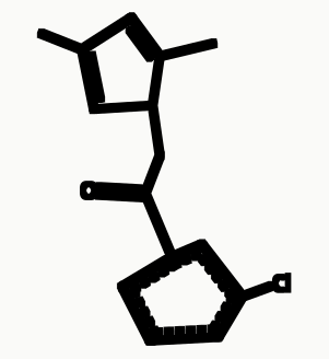 CC1=CC(CC(=O)c2cccc(Cl)c2)C(C)=C1